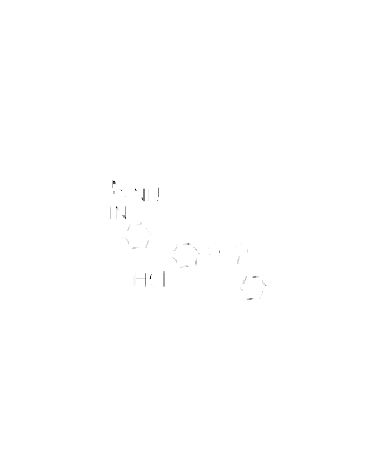 Cl.O=C(COc1ccc(Cc2ccc(NC3=NCCN3)cc2)cc1)c1ccccc1